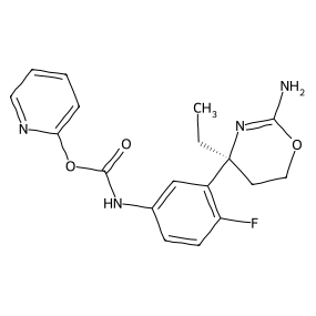 CC[C@@]1(c2cc(NC(=O)Oc3ccccn3)ccc2F)CCOC(N)=N1